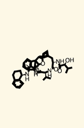 CC(C)[C@H](O)C(=O)N[C@H]1Cc2ccc3c(c2)C2(c4ccccc4NC2O3)c2oc(nc2C(=O)N[C@@H]2CCCc3ccccc32)[C@H](C(C)C)NC1=O